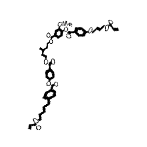 C=CC(=O)OCCCCCc1ccc(C(=O)Oc2ccc(C(=O)OCCC(C)CCOC(=O)c3ccc(OC(=O)c4ccc(OCCCCOC(=O)C=C)cc4)c(OC)c3)cc2)cc1